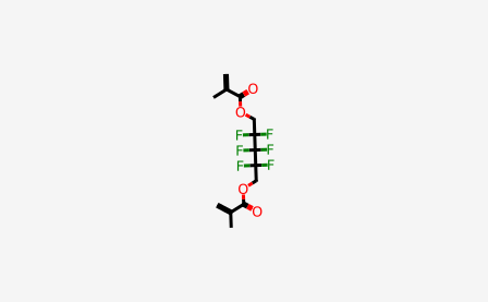 C=C(C)C(=O)OCC(F)(F)C(F)(F)C(F)(F)COC(=O)C(=C)C